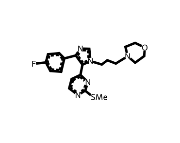 CSc1nccc(-c2c(-c3ccc(F)cc3)ncn2CCCN2CCOCC2)n1